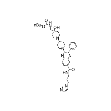 CCCCOC(=O)NCC1(O)CCN(C2CCN(c3nc4ccc(C(=O)NCCCn5ccnc5)cc4nc3-c3ccccc3)CC2)CC1